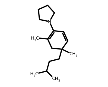 CC1=C(N2CCCC2)C=CC(C)(CCC(C)C)C1